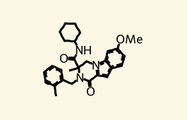 COc1ccc2cc3n(c2c1)CC(C)(C(=O)NC1CCCCC1)N(Cc1ccccc1C)C3=O